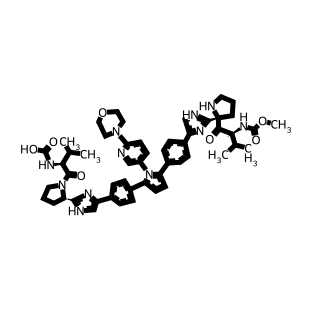 COC(=O)N[C@H](C(=O)[C@@]1(c2nc(-c3ccc(-c4ccc(-c5ccc(-c6c[nH]c([C@@H]7CCCN7C(=O)[C@@H](NC(=O)O)C(C)C)n6)cc5)n4-c4ccc(N5CCOCC5)nc4)cc3)c[nH]2)CCCN1)C(C)C